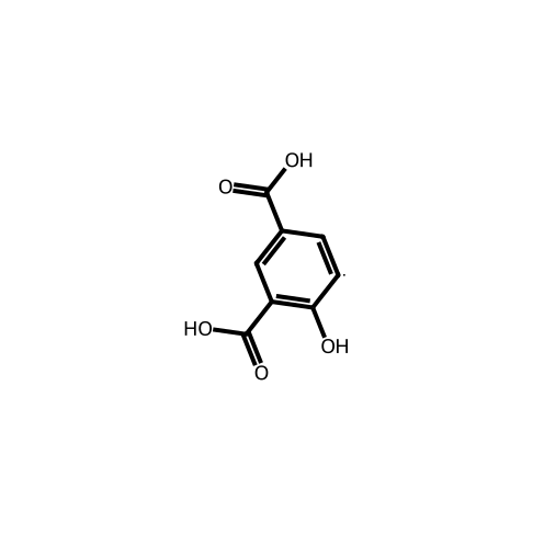 O=C(O)c1c[c]c(O)c(C(=O)O)c1